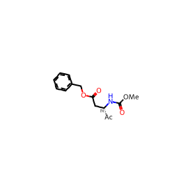 COC(=O)N[C@@H](CC(=O)OCc1ccccc1)C(C)=O